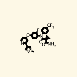 Cn1cc(-c2cc(Oc3ccc(N(C(=O)C4(C(N)=O)CC4)c4ccc(C(F)(F)F)cc4)c(F)c3)ccn2)cn1